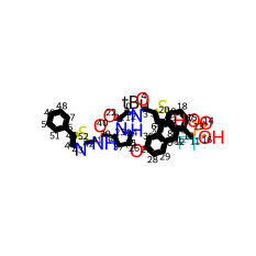 CC(C)(C)C(NC(=O)c1cc2cc(C(F)(F)P(=O)(O)O)ccc2s1)C(=O)N1C[C@H](Oc2ccc3ccccc3c2)C[C@H]1C(=O)Nc1ncc(-c2ccccc2)s1